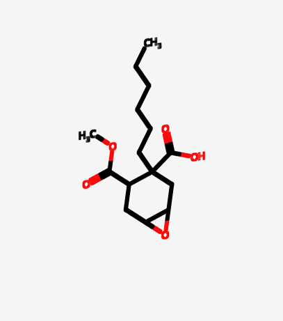 CCCCCCC1(C(=O)O)CC2OC2CC1C(=O)OC